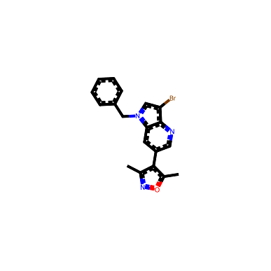 Cc1noc(C)c1-c1cnc2c(Br)cn(Cc3ccccc3)c2c1